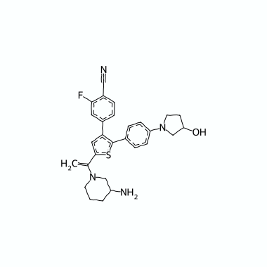 C=C(c1cc(-c2ccc(C#N)c(F)c2)c(-c2ccc(N3CCC(O)C3)cc2)s1)N1CCCC(N)C1